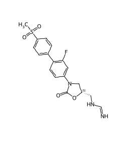 CS(=O)(=O)c1ccc(-c2ccc(N3C[C@H](CNC=N)OC3=O)cc2F)cc1